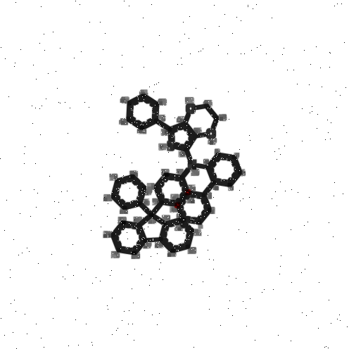 c1ccc(-c2ccccc2N(c2ccc(C3(c4ccccc4)c4ccccc4-c4ccccc43)cc2)c2sc(-c3ccccc3)c3c2OCCO3)cc1